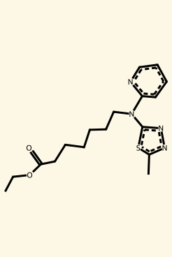 CCOC(=O)CCCCCCN(c1ccccn1)c1nnc(C)s1